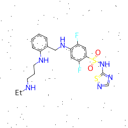 CCNCCCNc1ccccc1CNc1cc(F)c(S(=O)(=O)Nc2ncns2)cc1F